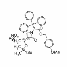 COc1ccc(COC(=O)C(N2C[C@H]([C@@H](C)O[Si](C)(C)C(C)(C)C)C2=O)=P(c2ccccc2)(c2ccccc2)c2ccccc2)cc1.O=[N+]([O-])[O-].[Ag+]